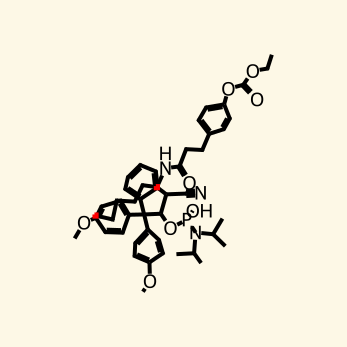 CCCCCC(NC(=O)CCc1ccc(OC(=O)OCC)cc1)C(C#N)C(OP(O)N(C(C)C)C(C)C)C(c1ccccc1)(c1ccc(OC)cc1)c1ccc(OC)cc1